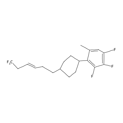 Cc1cc(F)c(F)c(F)c1C1CCC(CC/C=C/CC(F)(F)F)CC1